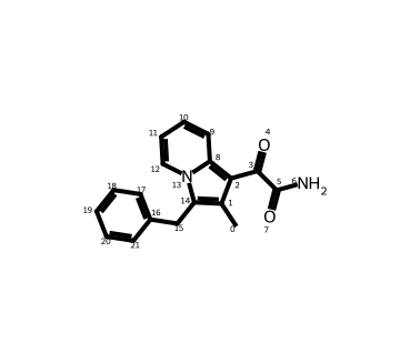 Cc1c(C(=O)C(N)=O)c2ccccn2c1Cc1ccccc1